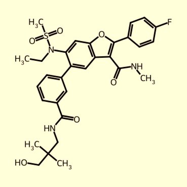 CCN(c1cc2oc(-c3ccc(F)cc3)c(C(=O)NC)c2cc1-c1cccc(C(=O)NCC(C)(C)CO)c1)S(C)(=O)=O